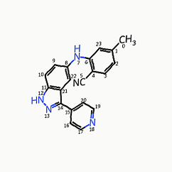 Cc1ccc(C#N)c(Nc2ccc3[nH]nc(-c4ccncc4)c3c2)c1